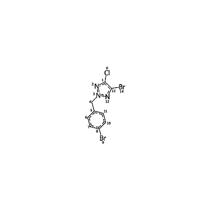 Clc1nn(Cc2ccc(Br)cc2)nc1Br